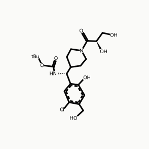 CC(C)(C)OC(=O)N[C@@H](c1cc(Cl)c(CO)cc1O)C1CCN(C(=O)[C@H](O)CO)CC1